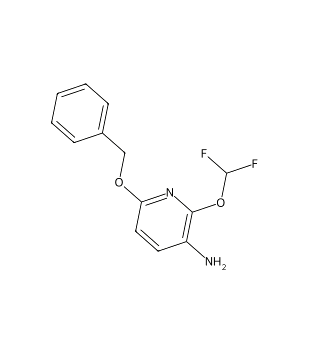 Nc1ccc(OCc2ccccc2)nc1OC(F)F